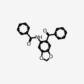 O=C(Nc1cc2c(cc1C(=O)c1ccccc1)OCO2)c1ccccc1